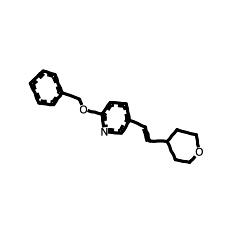 C(=C\C1CCOCC1)/c1ccc(OCc2ccccc2)nc1